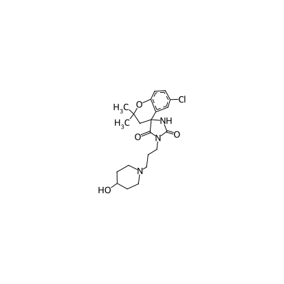 CC1(C)CC2(NC(=O)N(CCCN3CCC(O)CC3)C2=O)c2cc(Cl)ccc2O1